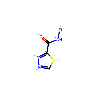 CCNC(=O)c1nncs1